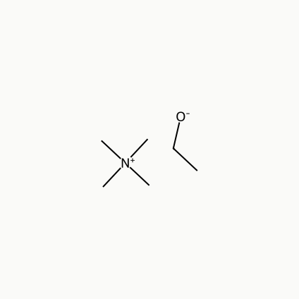 CC[O-].C[N+](C)(C)C